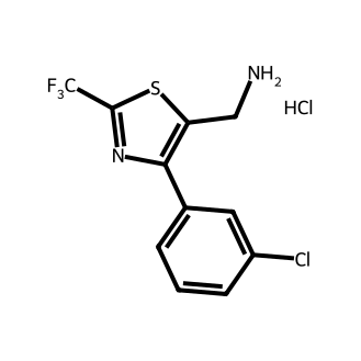 Cl.NCc1sc(C(F)(F)F)nc1-c1cccc(Cl)c1